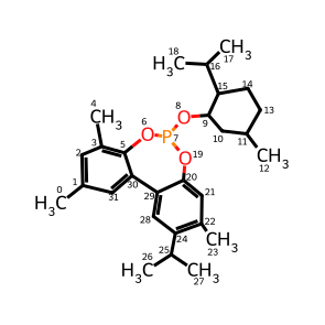 Cc1cc(C)c2op(OC3CC(C)CCC3C(C)C)oc3cc(C)c(C(C)C)cc3c2c1